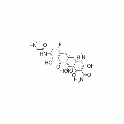 CN(C)CC(=O)Nc1cc(F)c2c(c1O)C(=O)C1=C(O)[C@]3(O)C(=O)C(C(N)=O)=C(O)[C@@H](N(C)C)[C@@H]3C[C@]1(C)C2